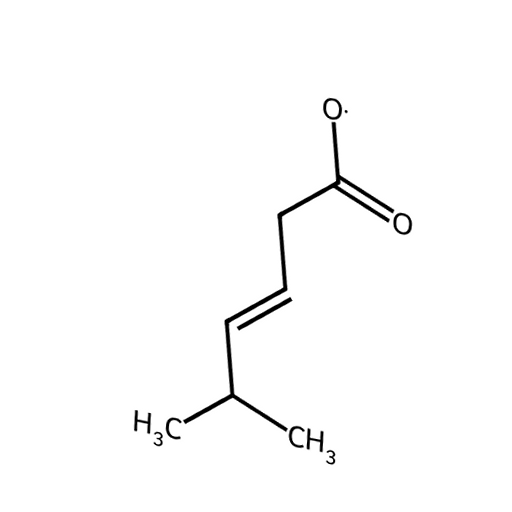 CC(C)C=CCC([O])=O